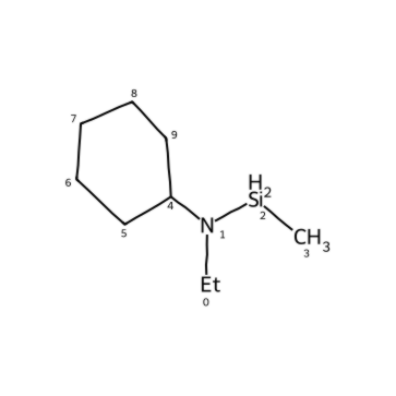 CCN([SiH2]C)C1CCCCC1